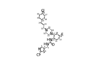 O=C(NCc1cnc(Cl)s1)Nc1ccc(F)cc1N1CCN(CC=Cc2ccc(Cl)cc2)CC1